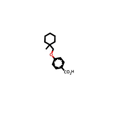 CC1(COc2ccc(C(=O)O)cc2)CCCCC1